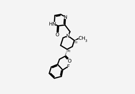 C[C@H]1C[C@H](C(=O)Cc2ccccc2F)CCN1Cc1ncc[nH]c1=O